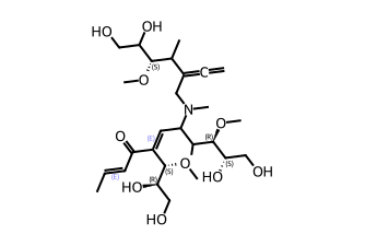 C=C=C(CN(C)C(/C=C(/C(=O)/C=C/C)[C@H](OC)[C@H](O)CO)C(C)[C@@H](OC)[C@@H](O)CO)C(C)[C@H](OC)C(O)CO